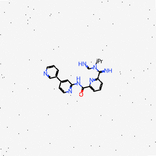 CC(C)N(C=N)C(=N)c1cccc(C(=O)Nc2cc(-c3cccnc3)ccn2)n1